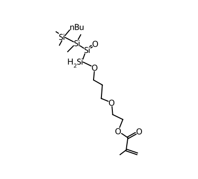 C=C(C)C(=O)OCCOCCCO[SiH2][Si](=O)[Si](C)(C)[Si](C)(C)CCCC